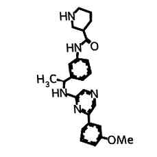 COc1cccc(-c2cncc(N[C@@H](C)c3cccc(NC(=O)C4CCCNC4)c3)n2)c1